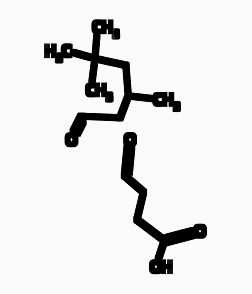 CC(CC=O)CC(C)(C)C.O=CCCC(=O)O